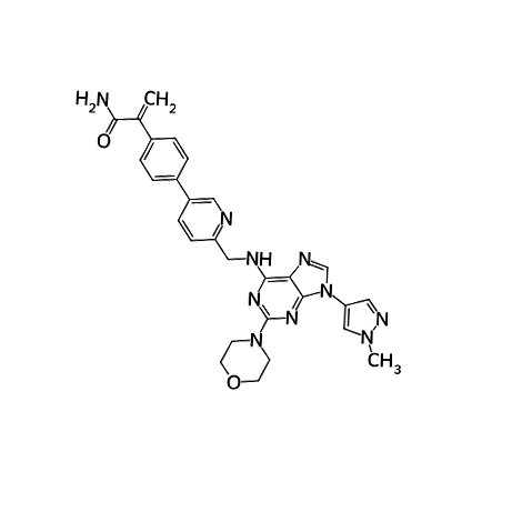 C=C(C(N)=O)c1ccc(-c2ccc(CNc3nc(N4CCOCC4)nc4c3ncn4-c3cnn(C)c3)nc2)cc1